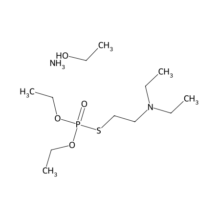 CCO.CCOP(=O)(OCC)SCCN(CC)CC.N